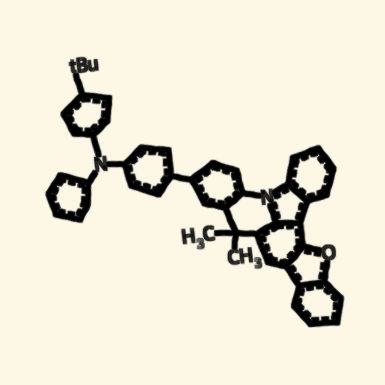 CC(C)(C)c1ccc(N(c2ccccc2)c2ccc(-c3ccc4c(c3)C(C)(C)c3cc5c6ccccc6oc5c5c6ccccc6n-4c35)cc2)cc1